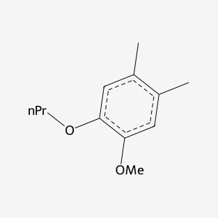 CCCOc1cc(C)c(C)cc1OC